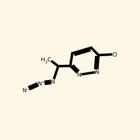 CC(N=[N+]=[N-])c1ccc(Cl)nn1